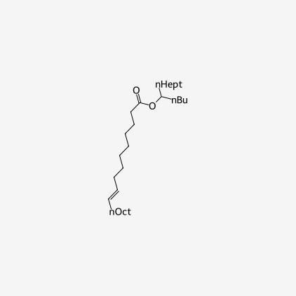 CCCCCCCCC=CCCCCCCCC(=O)OC(CCCC)CCCCCCC